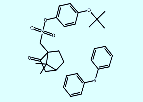 CC(C)(C)Oc1ccc(OS(=O)(=O)CC23CCC(CC2=O)C3(C)C)cc1.c1ccc(Sc2ccccc2)cc1